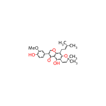 COc1cc(-c2coc3c(CC=C(C)C)c4c(c(O)c3c2=O)C=CC(C)(C)O4)ccc1O